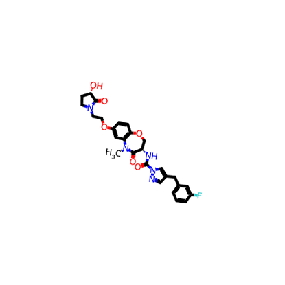 CN1C(=O)[C@@H](NC(=O)n2cc(Cc3cccc(F)c3)cn2)COc2ccc(OCCN3CC[C@H](O)C3=O)cc21